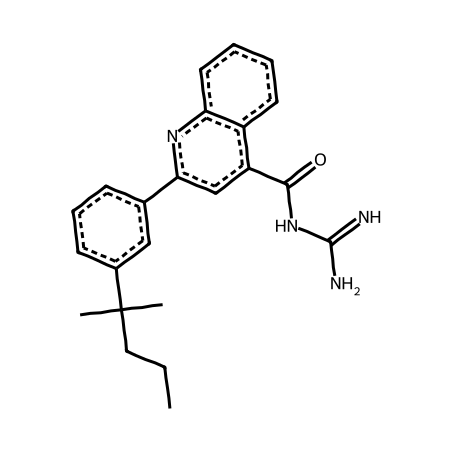 CCCC(C)(C)c1cccc(-c2cc(C(=O)NC(=N)N)c3ccccc3n2)c1